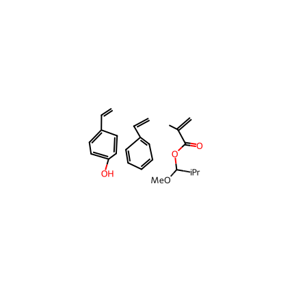 C=C(C)C(=O)OC(OC)C(C)C.C=Cc1ccc(O)cc1.C=Cc1ccccc1